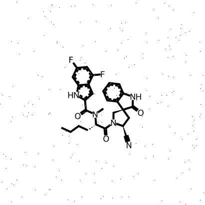 CCCC[C@@H](C(=O)N1C[C@]2(C[C@H]1C#N)C(=O)Nc1ccccc12)N(C)C(=O)c1cc2c(F)cc(F)cc2[nH]1